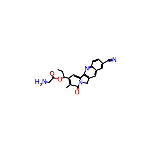 CCC(OC(=O)CN)c1cc2n(c(=O)c1C)Cc1cc3cc(C#N)ccc3nc1-2